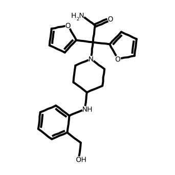 NC(=O)C(c1ccco1)(c1ccco1)N1CCC(Nc2ccccc2CO)CC1